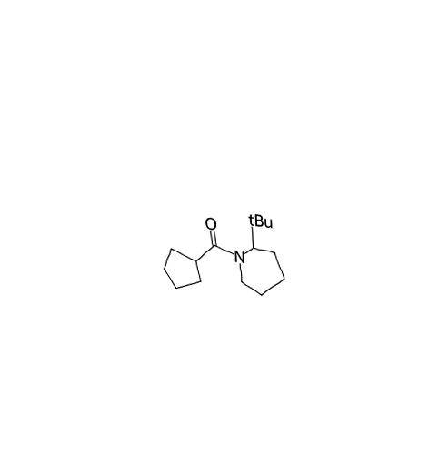 CC(C)(C)C1CCCCN1C(=O)C1CCCC1